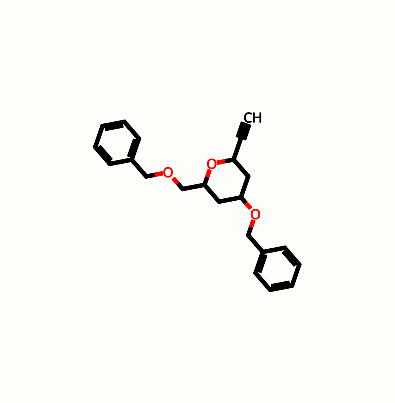 C#CC1CC(OCc2ccccc2)CC(COCc2ccccc2)O1